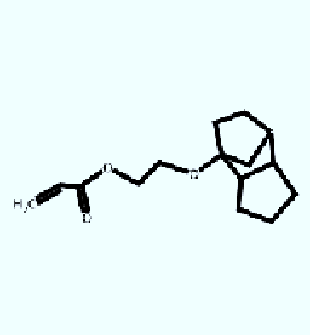 C=CC(=O)OCCOC12CCC(C1)C1CCCC12